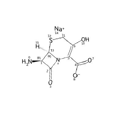 N[C@@H]1C(=O)N2C(C(=O)[O-])=C(O)CS[C@H]12.[Na+]